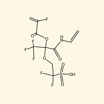 C=CNC(=O)C(OCC(F)(F)S(=O)(=O)O)(OC(=O)C(=C)F)C(F)(F)F